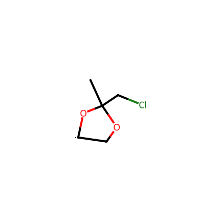 CC1(CCl)O[CH]CO1